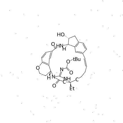 CC[C@@]12CCC/C=C\c3ccc4c(c3)[C@@H](NC(=O)c3ccc5c(c3)[C@@H](CCO5)N(C(=O)C1)/C(=N/C(=O)OC(C)(C)C)N2)[C@H](O)C4